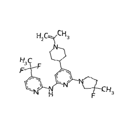 C=C(C)N1CCC(c2cc(Nc3cc(C(C)(F)F)ccn3)nc(N3CCC(C)(F)C3)c2)CC1